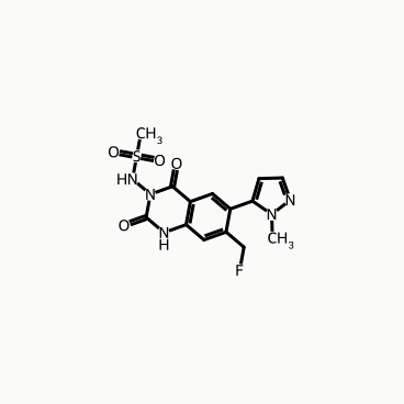 Cn1nccc1-c1cc2c(=O)n(NS(C)(=O)=O)c(=O)[nH]c2cc1CF